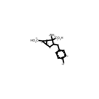 NC1(C(=O)O)C(Cc2ccc(F)cc2)CC2C(C(=O)O)C21